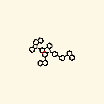 c1cc(-c2ccc(N(c3cccc(-c4cccc5ccccc45)c3)c3ccccc3-c3cccc(-n4c5ccccc5c5ccc6ccccc6c54)c3)cc2)cc(-c2cccc3ccccc23)c1